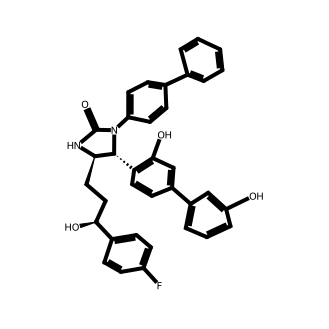 O=C1N[C@H](CC[C@H](O)c2ccc(F)cc2)[C@@H](c2ccc(-c3cccc(O)c3)cc2O)N1c1ccc(-c2ccccc2)cc1